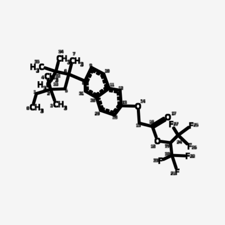 CCC(C)(C)CC(C)(c1ccc2cc(OCC(=O)OC(C(F)(F)F)C(F)(F)F)ccc2c1)C(C)(C)C